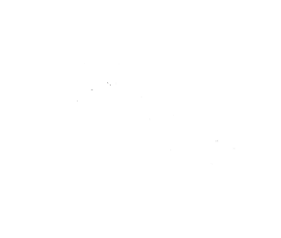 Cc1cc(OCCCn2ccc3ccccc32)cc(C)c1Cl